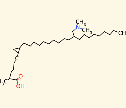 CCCCCCCCCC(CCCCCCCCCCC1CC1CCCCC(C)C(=O)O)CN(C)C